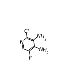 Nc1c(F)cnc(Cl)c1N